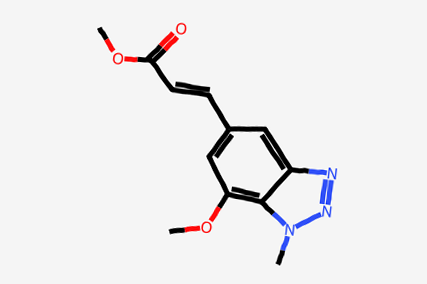 COC(=O)/C=C/c1cc(OC)c2c(c1)nnn2C